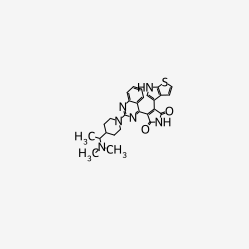 CC(C1CCN(c2nc(C3=C(c4c[nH]c5sccc45)C(=O)NC3=O)c3ccccc3n2)CC1)N(C)C